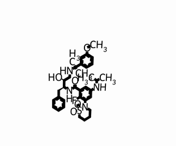 COc1cccc(C(C)(C)NC[C@@H](O)[C@H](Cc2ccccc2)NC(=O)c2cc(NC(C)C)cc(N3CCCCS3(=O)=O)c2F)c1